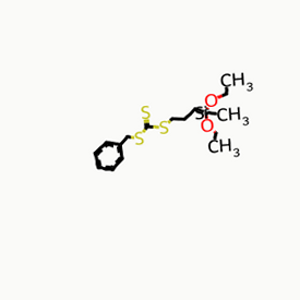 CCO[Si](C)(CCCSC(=S)SCc1ccccc1)OCC